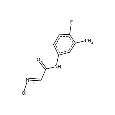 Cc1cc(NC(=O)/C=N/O)ccc1F